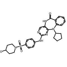 O=C1Nc2cnc(Nc3ccc(S(=O)(=O)N4CCC(O)CC4)cc3)nc2N(C2CCCC2)c2ccccc21